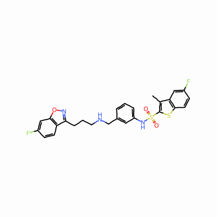 Cc1c(S(=O)(=O)Nc2cccc(CNCCCc3noc4cc(F)ccc34)c2)sc2ccc(F)cc12